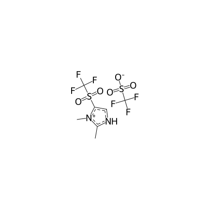 Cc1[nH]cc(S(=O)(=O)C(F)(F)F)[n+]1C.O=S(=O)([O-])C(F)(F)F